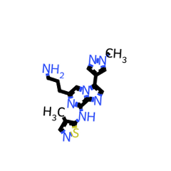 Cc1cnsc1Nc1nc(CCCN)cn2c(-c3cnn(C)c3)cnc12